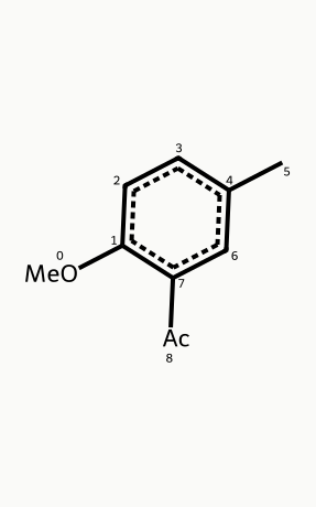 COc1ccc(C)cc1C(C)=O